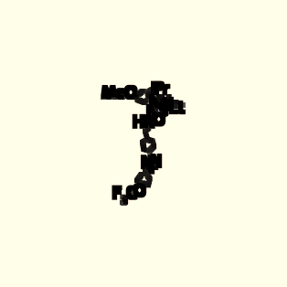 CCN(C)S/C(=N\C(=O)NCCc1ccc(-c2ncn(-c3ccc(OC(F)(F)F)cc3)n2)cc1)Nc1ccc(OC)cc1C(C)C